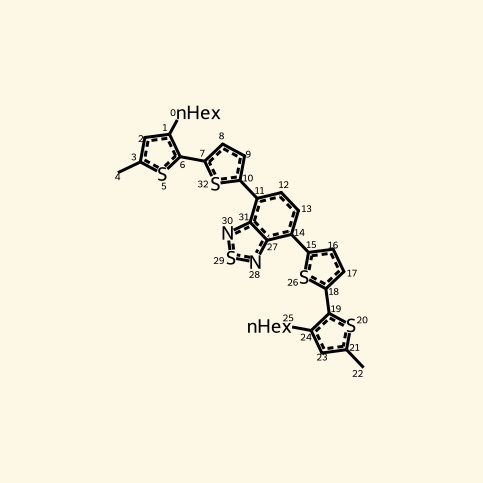 CCCCCCc1cc(C)sc1-c1ccc(-c2ccc(-c3ccc(-c4sc(C)cc4CCCCCC)s3)c3nsnc23)s1